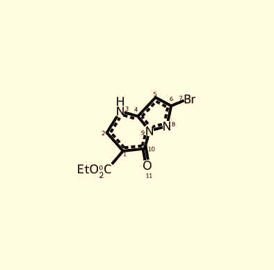 CCOC(=O)c1c[nH]c2cc(Br)nn2c1=O